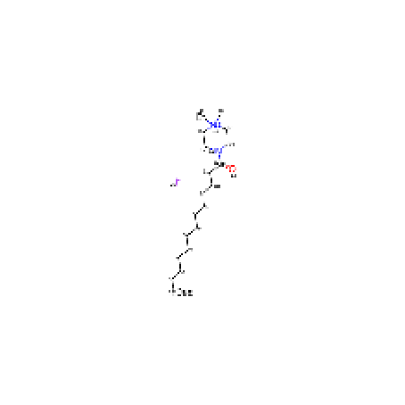 CCCCCCCCCCCCCCCCCCCCCC(=O)N1CC[N+](C)(CC)CC1.[I-]